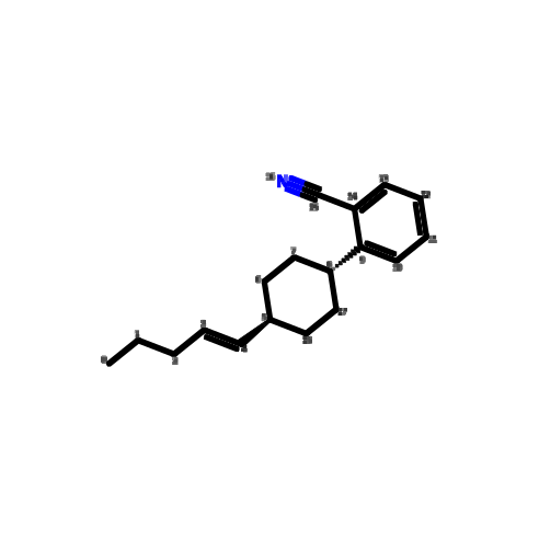 CCCC=C[C@H]1CC[C@H](c2ccccc2C#N)CC1